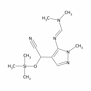 CN(C)/C=N/c1c(C(C#N)O[Si](C)(C)C)cnn1C